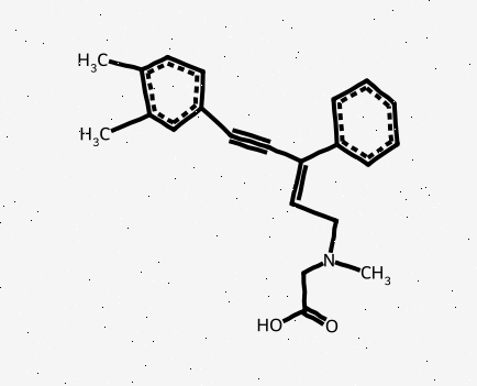 Cc1ccc(C#CC(=CCN(C)CC(=O)O)c2ccccc2)cc1C